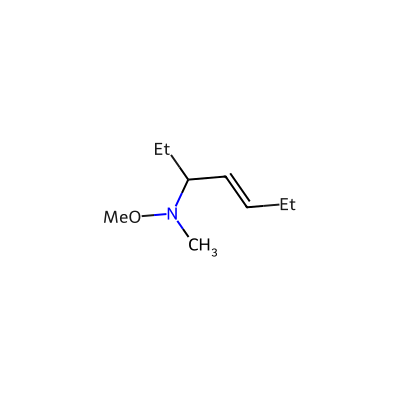 CCC=CC(CC)N(C)OC